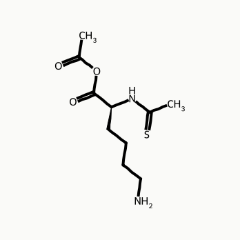 CC(=O)OC(=O)[C@H](CCCCN)NC(C)=S